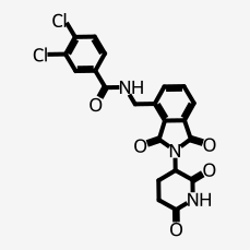 O=C1CCC(N2C(=O)c3cccc(CNC(=O)c4ccc(Cl)c(Cl)c4)c3C2=O)C(=O)N1